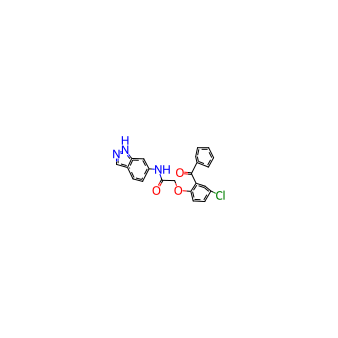 O=C(COc1ccc(Cl)cc1C(=O)c1ccccc1)Nc1ccc2cn[nH]c2c1